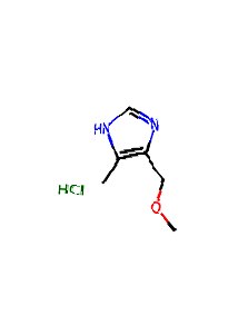 COCc1nc[nH]c1C.Cl